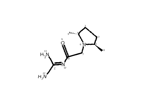 C[C@@H]1CC[C@@H](C)N1CC(=O)N=C(N)N